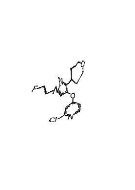 FCCn1cc(Oc2ccnc(Cl)c2)c(C2CCOCC2)n1